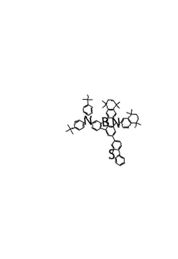 CC(C)(C)c1ccc(N(c2ccc(C(C)(C)C)cc2)c2ccc3c(c2)B2c4cc5c(cc4N(c4ccc6c(c4)C(C)(C)CCC6(C)C)c4cc(-c6ccc7c(c6)sc6ccccc67)cc-3c42)C(C)(C)CCC5(C)C)cc1